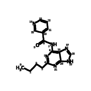 CCCCc1nc(NC(=O)c2cccnc2)c2nc[nH]c2n1